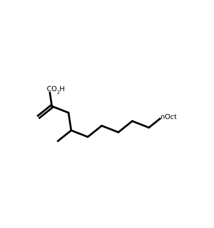 C=C(CC(C)CCCCCCCCCCCCC)C(=O)O